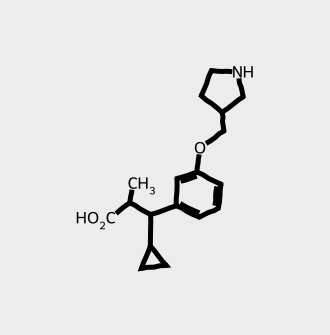 CC(C(=O)O)C(c1cccc(OCC2CCNC2)c1)C1CC1